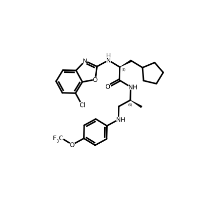 C[C@@H](CNc1ccc(OC(F)(F)F)cc1)NC(=O)[C@H](CC1CCCC1)Nc1nc2cccc(Cl)c2o1